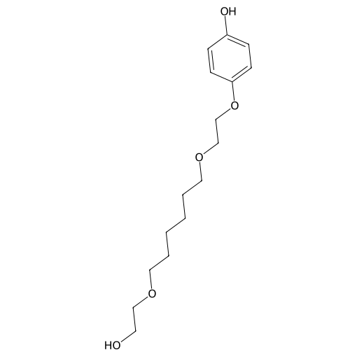 OCCOCCCCCCOCCOc1ccc(O)cc1